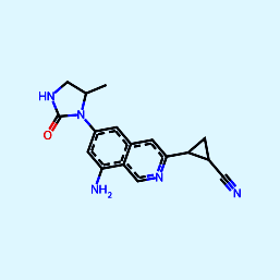 CC1CNC(=O)N1c1cc(N)c2cnc(C3CC3C#N)cc2c1